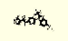 COc1ccc2c(c1)nc(C(F)(F)F)n2-c1ccc(NC(=O)c2csnc2C)nc1